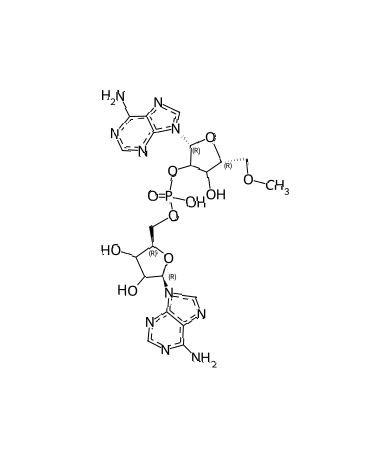 COC[C@H]1O[C@@H](n2cnc3c(N)ncnc32)C(OP(=O)(O)OC[C@H]2O[C@@H](n3cnc4c(N)ncnc43)C(O)C2O)C1O